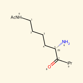 CC(=O)NCCCC[C@H](N)C(=O)C(C)C